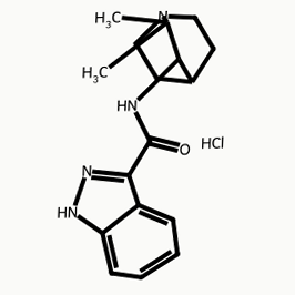 CC1(C)C(NC(=O)c2n[nH]c3ccccc23)C2CCN1CC2.Cl